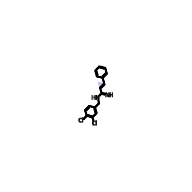 N=C(/C=C/c1ccccc1)NCc1ccc(Cl)c(Cl)c1